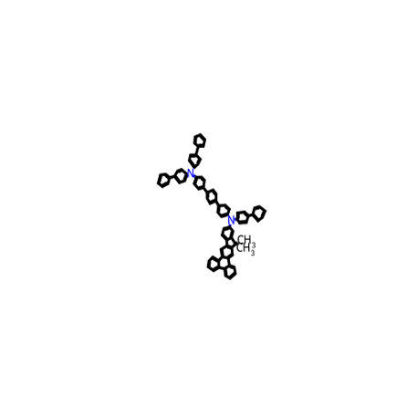 CC1(C)c2cc(N(c3ccc(-c4ccccc4)cc3)c3ccc(-c4ccc(-c5ccc(N(c6ccc(-c7ccccc7)cc6)c6ccc(-c7ccccc7)cc6)cc5)cc4)cc3)ccc2-c2cc3c4ccccc4c4ccccc4c3cc21